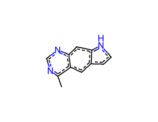 Cc1ncnc2cc3[nH]ccc3cc12